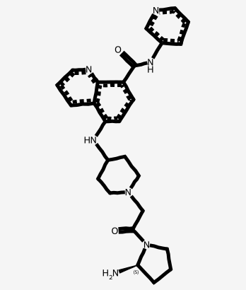 N[C@@H]1CCCN1C(=O)CN1CCC(Nc2ccc(C(=O)Nc3cccnc3)c3ncccc23)CC1